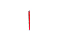 S=S=S=S=S=S=S=S=S=S=S=S=S=S=S=S=S=S=S=S=S=S=S=S=S=S=S=S=S=S=S=S=S=S=S=S=S=S=S=S=S=S=S=S=S=S=S=S=S=S=S=S=S=S=S=S=S=S=S=S=S=S=S=S=S=S=S=S=S=S=S